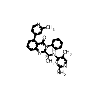 Cc1cc(-c2cccc3nc([C@H](C)Nc4nc(N)ncc4C)n(-c4ccccc4)c(=O)c23)ccn1